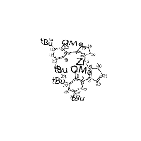 COc1c(C2=[C]([Zr][C]3=C(c4cc(C(C)(C)C)cc(C(C)(C)C)c4OC)C=CC3)CC=C2)cc(C(C)(C)C)cc1C(C)(C)C